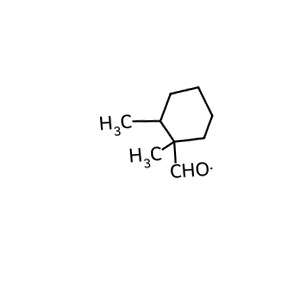 CC1CCCCC1(C)[C]=O